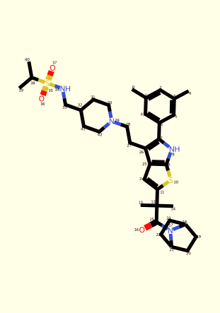 Cc1cc(C)cc(-c2[nH]c3sc(C(C)(C)C(=O)N4C5CCC4CC5)cc3c2CCN2CCC(CNS(=O)(=O)C(C)C)CC2)c1